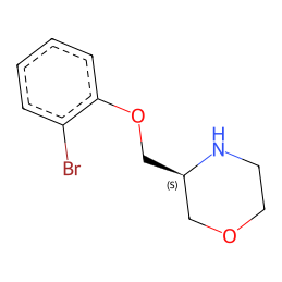 Brc1ccccc1OC[C@@H]1COCCN1